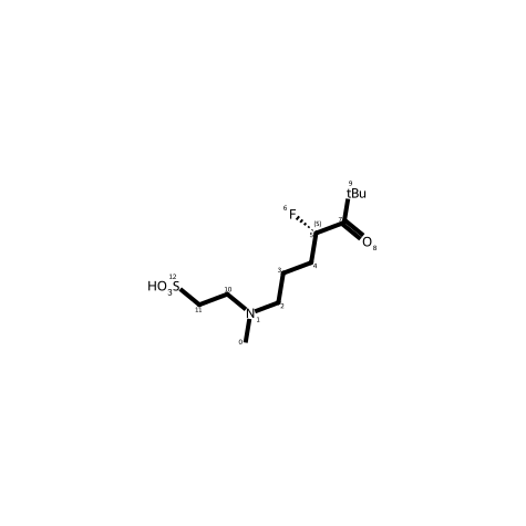 CN(CCC[C@H](F)C(=O)C(C)(C)C)CCS(=O)(=O)O